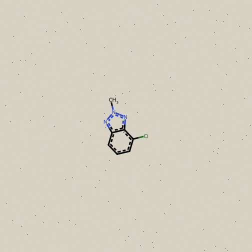 Cn1nc2cccc(Cl)c2n1